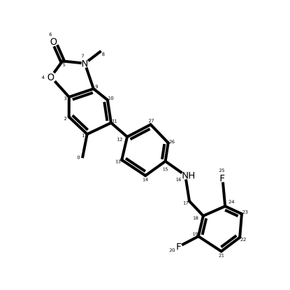 Cc1cc2oc(=O)n(C)c2cc1-c1ccc(NCc2c(F)cccc2F)cc1